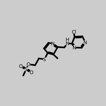 Cc1c(SCCOS(C)(=O)=O)ccnc1CNc1ncncc1Cl